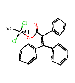 C[CH2][SbH]([Cl])([Cl])[O]C(=O)C(=C(c1ccccc1)c1ccccc1)c1ccccc1